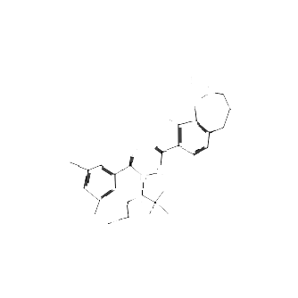 CCC[C@@H](N(NC(=O)c1ccc2c(c1C)OB(O)CCC2)C(=O)c1cc(C)cc(C)c1)C(C)(C)C